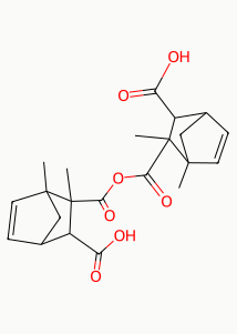 CC12C=CC(C1)C(C(=O)O)C2(C)C(=O)OC(=O)C1(C)C(C(=O)O)C2C=CC1(C)C2